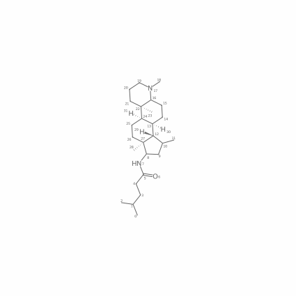 CC(C)CCC(=O)NC1CC(C)[C@H]2[C@@H]3CCC4N(C)CCC[C@]4(C)[C@@H]3CC[C@]12C